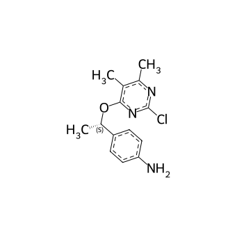 Cc1nc(Cl)nc(O[C@@H](C)c2ccc(N)cc2)c1C